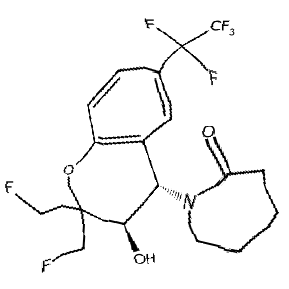 O=C1CCCCN1[C@H]1c2cc(C(F)(F)C(F)(F)F)ccc2OC(CF)(CF)[C@@H]1O